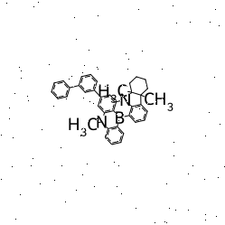 CN1c2ccccc2B2c3cccc4c3N(c3cc(-c5cccc(-c6ccccc6)c5)cc1c32)C1(C)CCCCC41C